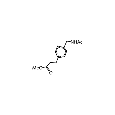 COC(=O)CCc1ccc(CNC(C)=O)cc1